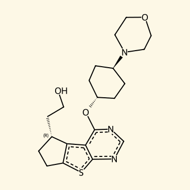 OCC[C@H]1CCc2sc3ncnc(O[C@H]4CC[C@H](N5CCOCC5)CC4)c3c21